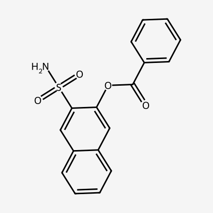 NS(=O)(=O)c1cc2ccccc2cc1OC(=O)c1ccccc1